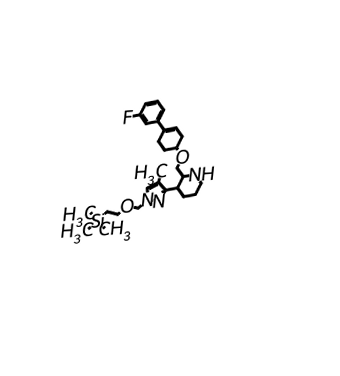 Cc1cn(COCC[Si](C)(C)C)nc1C1CCCNC1COC1CC=C(c2cccc(F)c2)CC1